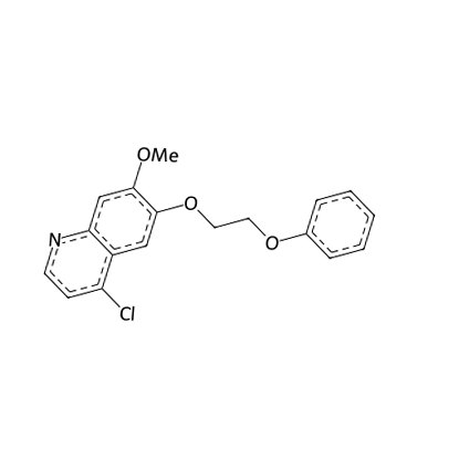 COc1cc2nccc(Cl)c2cc1OCCOc1ccccc1